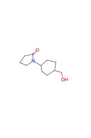 O=C1CCCN1C1CCC(CO)CC1